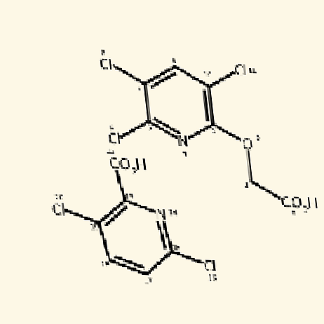 O=C(O)COc1nc(Cl)c(Cl)cc1Cl.O=C(O)c1nc(Cl)ccc1Cl